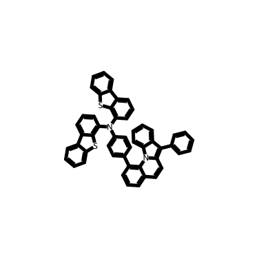 c1ccc(-c2c3ccccc3n3c2ccc2cccc(-c4ccc(N(c5cccc6c5sc5ccccc56)c5cccc6c5sc5ccccc56)cc4)c23)cc1